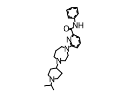 CC(C)N1CCC(N2CCCN(c3cccc(C(=O)Nc4ccccc4)n3)CC2)CC1